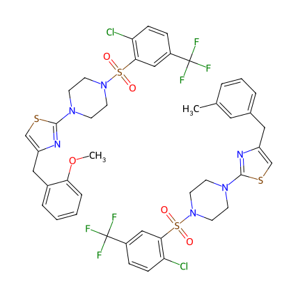 COc1ccccc1Cc1csc(N2CCN(S(=O)(=O)c3cc(C(F)(F)F)ccc3Cl)CC2)n1.Cc1cccc(Cc2csc(N3CCN(S(=O)(=O)c4cc(C(F)(F)F)ccc4Cl)CC3)n2)c1